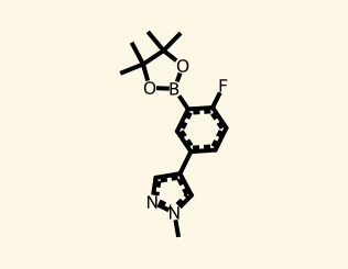 Cn1cc(-c2ccc(F)c(B3OC(C)(C)C(C)(C)O3)c2)cn1